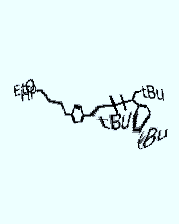 CCOPCCCCc1ccc(C(CC(C)(C)C(C)(C)C(CC(C)(C)C)c2ccc(C(C)(C)C)cc2)C(C)(C)C)cc1